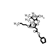 CCCCOC(=O)NC(CC(=O)OCc1ccccc1)C(=O)NC(C(=O)NC)C(C)(C)C